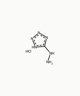 Cl.NNc1nnn[nH]1